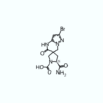 NC(=O)[C@@H]1CC2(CN1C(=O)O)Cn1nc(Br)cc1NC2=O